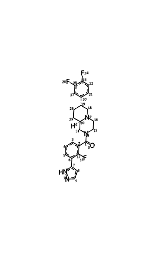 O=C(c1cccc(-c2ccn[nH]2)c1F)N1CCN2C[C@@H](c3ccc(F)c(F)c3)CC[C@@H]2C1